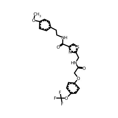 COc1ccc(CCNC(=O)c2csc(CNC(=O)COc3ccc(OC(F)(F)F)cc3)n2)cc1